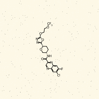 O=C(N[C@H]1CC[C@H](c2nnc(OCCOC(F)(F)F)o2)OC1)c1cnc2cc(Cl)c(F)cc2n1